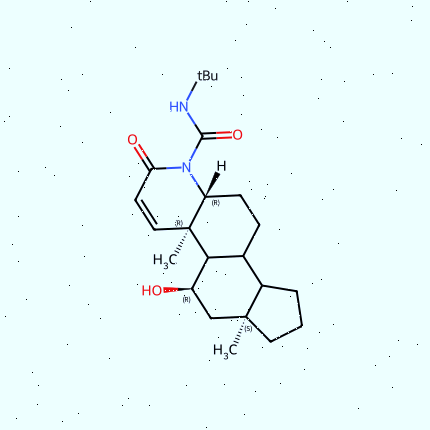 CC(C)(C)NC(=O)N1C(=O)C=C[C@]2(C)C3C(CC[C@@H]12)C1CCC[C@@]1(C)C[C@H]3O